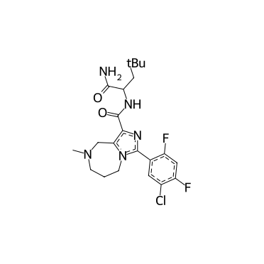 CN1CCCn2c(-c3cc(Cl)c(F)cc3F)nc(C(=O)NC(CC(C)(C)C)C(N)=O)c2C1